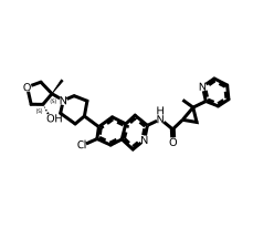 CC1(c2ccccn2)CC1C(=O)Nc1cc2cc(C3CCN([C@@]4(C)COC[C@H]4O)CC3)c(Cl)cc2cn1